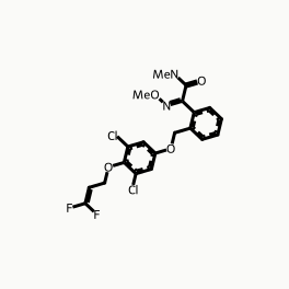 CNC(=O)C(=NOC)c1ccccc1COc1cc(Cl)c(OCC=C(F)F)c(Cl)c1